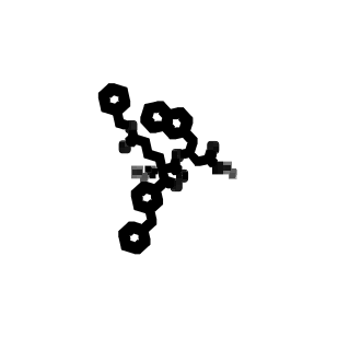 NC(=O)C[C@H](Cc1ccc2ccccc2c1)OC(=O)[C@](N)(CCCC(=O)OCc1ccccc1)C(=O)c1cccc(Cc2ccccc2)c1